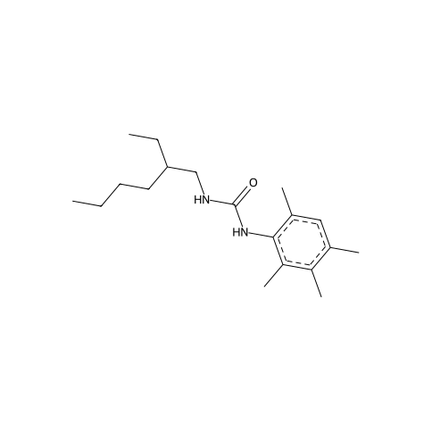 CCCCC(CC)CNC(=O)Nc1c(C)cc(C)c(C)c1C